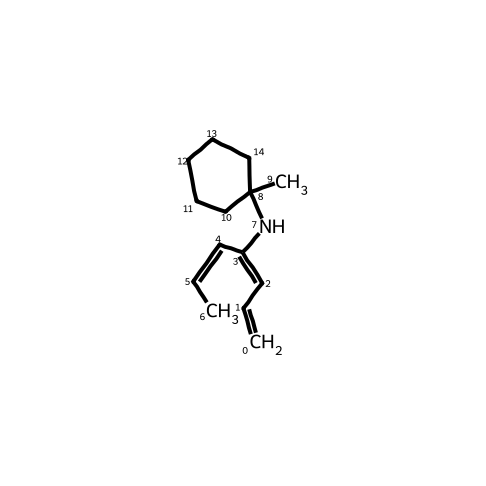 C=C/C=C(\C=C/C)NC1(C)CCCCC1